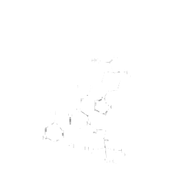 CC(C)(C)[C@@H]1C[C@H]1N(CC(=O)c1c(Cl)cncc1Cl)C(=O)c1cnn([C@H]2CC[C@](C)(C(=O)O)CC2)c1C(F)(F)F